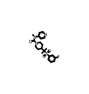 CN(C(=O)N1CCC(C(C)(C)S(=O)(=O)c2cccc(F)c2)CC1)c1ccncc1